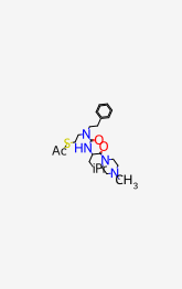 CC(=O)SCCN(CCc1ccccc1)C(=O)NC(CC(C)C)C(=O)N1CCN(C)CC1